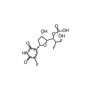 O=c1[nH]c(=O)n([C@H]2C[C@H](O)[C@@H]([C@@H](OP(=O)(O)O)C(F)F)O2)cc1F